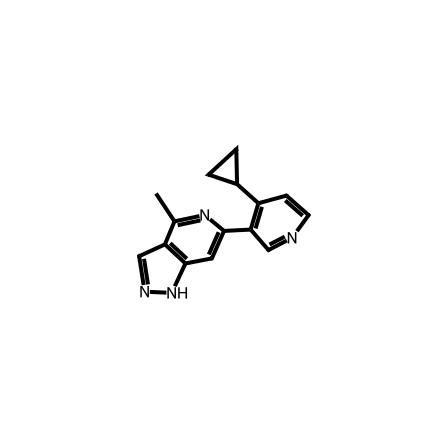 Cc1nc(-c2cnccc2C2CC2)cc2[nH]ncc12